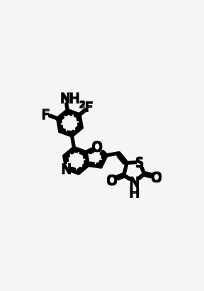 Nc1c(F)cc(-c2cncc3cc(/C=C4/SC(=O)NC4=O)oc23)cc1F